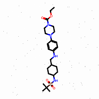 CCOC(=O)N1CCN(c2ccc(NCC3CCC(NS(=O)(=O)C(C)(C)C)CC3)cc2)CC1